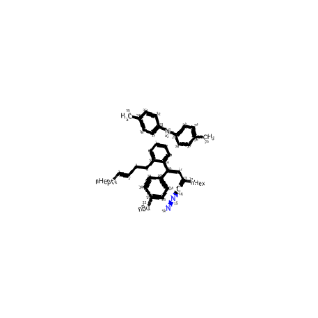 CCCCCCCC=CCCc1ccccc1C(=CC(=C=[N+]=[N-])CCCCCC)c1ccc(CCCC)cc1.Cc1cc[c]([Ni][c]2ccc(C)cc2)cc1